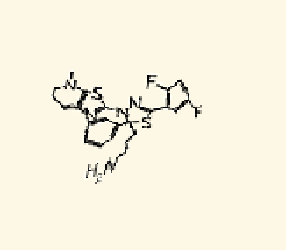 CN1CCCc2nc(N3N=C(c4cc(F)ccc4F)SC3(CCCN)c3ccccc3)sc21